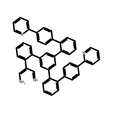 N=C/C(=C\N)c1ccccc1-c1cc(-c2ccccc2-c2ccc(-c3ccccn3)cc2)cc(-c2ccccc2-c2ccc(-c3ccccn3)cc2)c1